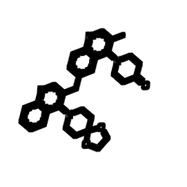 Cc1cnc2ccc(Cc3cnc4ccccc4c3N3CCC4(CC3)OCCO4)cc2c1N1CCC(=O)CC1